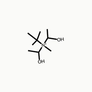 CC(O)[N+](C)(C(C)O)C(C)(C)C